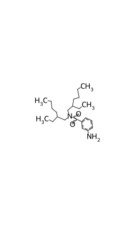 CCCCC(CC)CN(CC(CC)CCCC)S(=O)(=O)c1cccc(N)c1